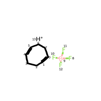 C1=CCCC=CCC1.F[B-](F)(F)F.[H+]